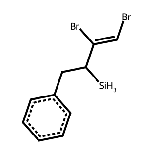 [SiH3]C(Cc1ccccc1)C(Br)=CBr